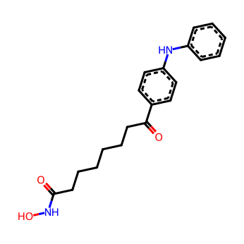 O=C(CCCCCCC(=O)c1ccc(Nc2ccccc2)cc1)NO